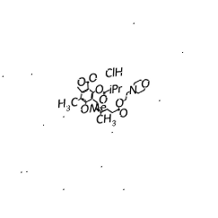 COc1c(C)c2c(c(OC(=O)C(C)C)c1CC=C(C)CCC(=O)OCCN1CCOCC1)C(=O)OC2.Cl